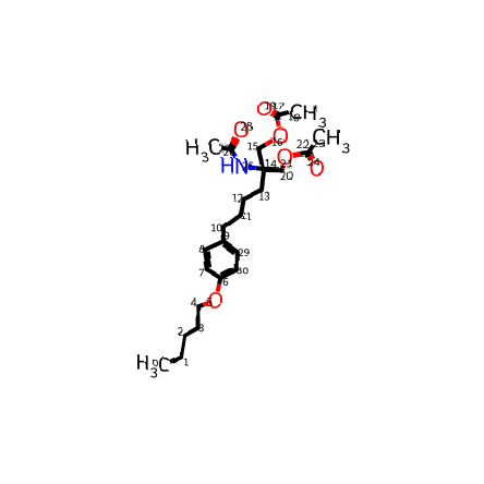 CCCCCOc1ccc(CCCCC(COC(C)=O)(COC(C)=O)NC(C)=O)cc1